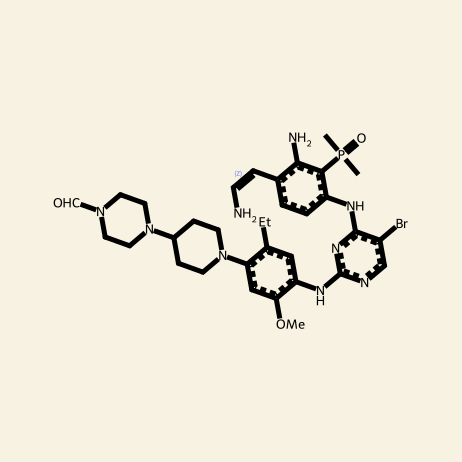 CCc1cc(Nc2ncc(Br)c(Nc3ccc(/C=C\N)c(N)c3P(C)(C)=O)n2)c(OC)cc1N1CCC(N2CCN(C=O)CC2)CC1